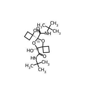 CC(C)(C)NC(=O)[C@@]1(C2(O)CCC2)OC2(CCC2)[C@@](O)(C(=O)NC(C)(C)C)O1